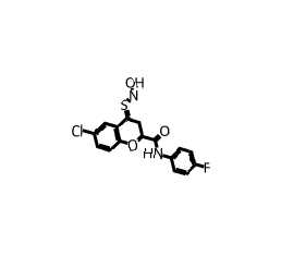 O=C(Nc1ccc(F)cc1)C1CC(=S=NO)c2cc(Cl)ccc2O1